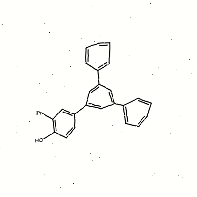 CC(C)c1cc(-c2cc(-c3ccccc3)cc(-c3ccccc3)c2)ccc1O